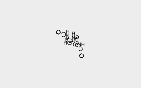 O=C(Cn1c(=O)[nH]c(C(=O)NC2CCC(c3ccccc3)CC2)c(O)c1=O)N[C@H]1CC[C@@H](c2ccccc2)CC1